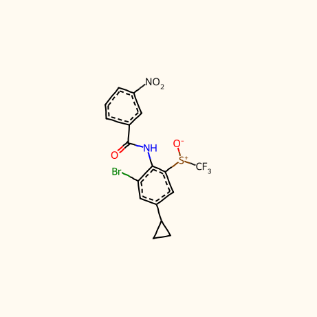 O=C(Nc1c(Br)cc(C2CC2)cc1[S+]([O-])C(F)(F)F)c1cccc([N+](=O)[O-])c1